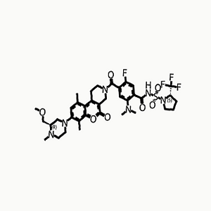 COC[C@H]1CN(c2cc(C)c3c4c(c(=O)oc3c2C)CN(C(=O)c2cc(N(C)C)c(C(=O)NS(=O)(=O)N3CCC[C@H]3C(F)(F)F)cc2F)CC4)CCN1C